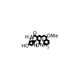 COC(Cc1cc(C(N)=O)c([C@H]2[C@@H]3C[C@H](O)C[C@@H]32)c(C(N)=O)n1)c1ccccc1